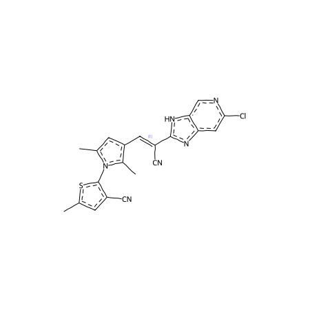 Cc1cc(C#N)c(-n2c(C)cc(/C=C(\C#N)c3nc4cc(Cl)ncc4[nH]3)c2C)s1